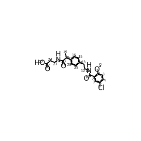 COc1ccc(Cl)cc1C(=O)NCCc1ccc(C(C)C(=O)NCCC(=O)O)cc1